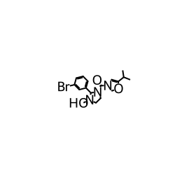 CC(C)C1=CN(C(=O)N2CCN(O)C2c2cccc(Br)c2)CO1